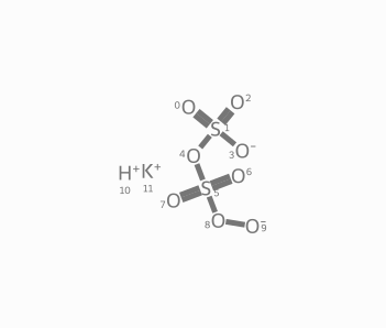 O=S(=O)([O-])OS(=O)(=O)O[O-].[H+].[K+]